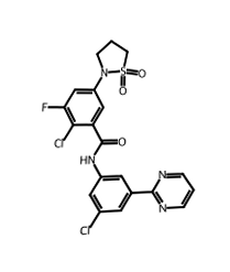 O=C(Nc1cc(Cl)cc(-c2ncccn2)c1)c1cc(N2CCCS2(=O)=O)cc(F)c1Cl